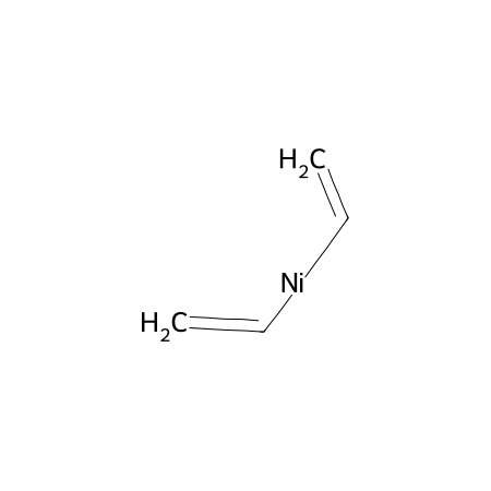 C=[CH][Ni][CH]=C